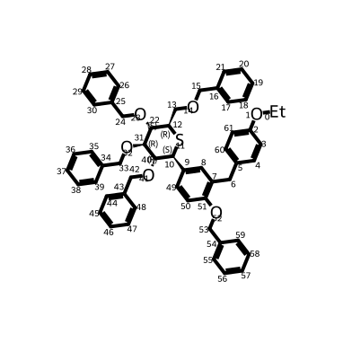 CCOc1ccc(Cc2cc([C@@H]3S[C@H](COCc4ccccc4)[C@@H](OCc4ccccc4)[C@H](OCc4ccccc4)[C@H]3OCc3ccccc3)ccc2OCc2ccccc2)cc1